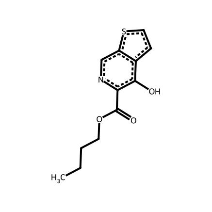 CCCCOC(=O)c1ncc2sccc2c1O